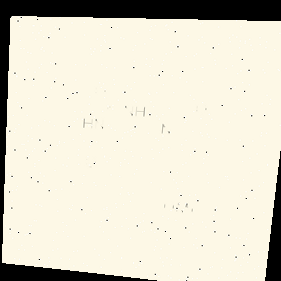 COc1ccc(C(=O)c2[nH]c(=O)[nH]c2CN2CCOCC2)cc1